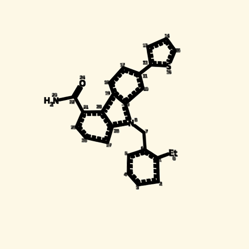 CCc1ccccc1Cn1c2cc(-c3cccs3)c[c]c2c2c(C(N)=O)cccc21